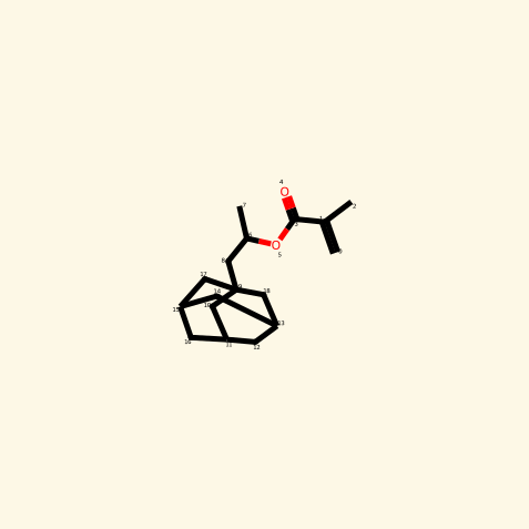 C=C(C)C(=O)OC(C)CC12CC3CC(CC(C3)C1)C2